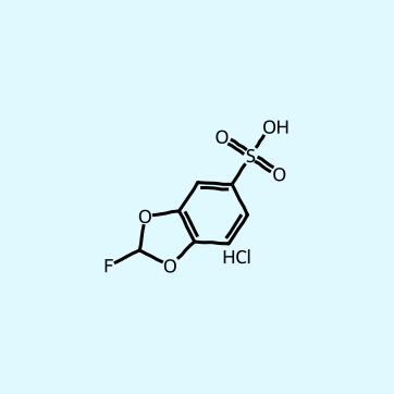 Cl.O=S(=O)(O)c1ccc2c(c1)OC(F)O2